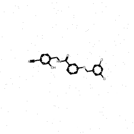 N#Cc1ccc(CNC(=O)c2cccc(OCc3cc(Cl)cc(Cl)c3)c2)c(O)c1